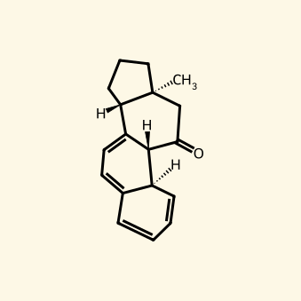 C[C@@]12CCC[C@H]1C1=CC=C3C=CC=C[C@@H]3[C@H]1C(=O)C2